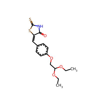 CCOC(COc1ccc(C=C2SC(=S)NC2=O)cc1)OCC